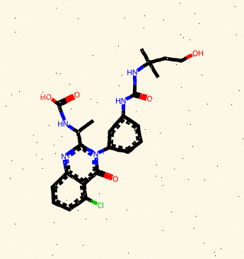 CC(NC(=O)O)c1nc2cccc(Cl)c2c(=O)n1-c1cccc(NC(=O)NC(C)(C)CCO)c1